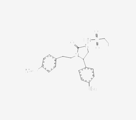 COc1ccc(CCN2C(=O)N(NS(=O)(=O)CF)CC2c2ccc(C(C)(C)C)cc2)cc1